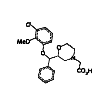 COc1c(Cl)cccc1OC(c1ccccc1)C1CN(CC(=O)O)CCO1